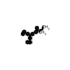 C=C/C=C\C=C(/C)n1c2ccccc2c2cc(-c3ccc(N(c4ccc(-c5cccc6ccccc56)cc4)c4ccc(-c5cccc6ccccc56)cc4)cc3)ccc21